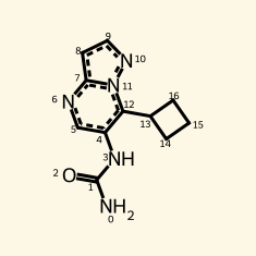 NC(=O)Nc1cnc2ccnn2c1C1CCC1